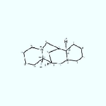 [CH]1[C]2C[C@@H](CN3CCCC[C@H]23)[C@@H]2CCCCN12